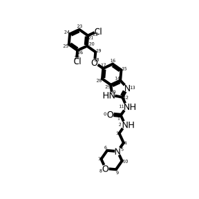 O=C(NCCN1CCOCC1)Nc1nc2ccc(OCc3c(Cl)cccc3Cl)cc2[nH]1